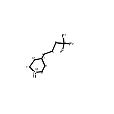 FC(F)(F)CCCC1CCNCC1